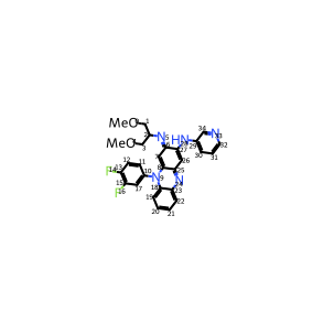 COCC(COC)/N=c1\cc2n(-c3ccc(F)c(F)c3)c3ccccc3nc-2cc1Nc1cccnc1